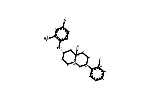 Nc1cc(Br)ccc1N[C@H]1CCN2C[C@H](c3ccccc3F)CC[C@H]2C1